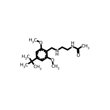 COc1cc(C(C)(C)C)cc(OC)c1CNCCNC(C)=O